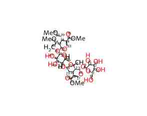 C=C[C@H]1[C@H](O[C@@H]2O[C@H](CO)[C@@H](O)[C@H](O)[C@H]2O)OC=C(C(=O)OC)[C@H]1C[C@@H]1OC[C@H]2O[C@@H](O[C@@H]3OC=C(C(=O)OC)[C@@H](CC(OC)OC)[C@H]3C=C)[C@H](O)[C@@H](O)[C@@H]2O1